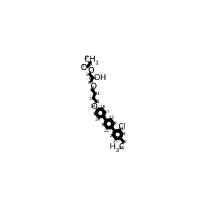 C=CC(=O)OCC(O)COCCCCOc1ccc(-c2ccc(-c3ccc(CC)cc3Cl)cc2)cc1